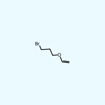 C=COCCCBr